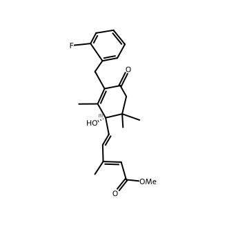 COC(=O)C=C(C)C=C[C@@]1(O)C(C)=C(Cc2ccccc2F)C(=O)CC1(C)C